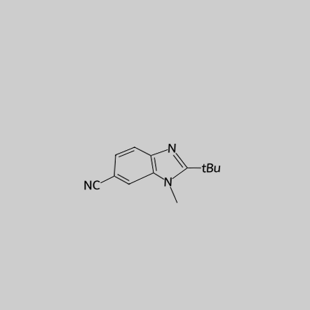 Cn1c(C(C)(C)C)nc2ccc(C#N)cc21